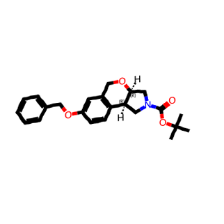 CC(C)(C)OC(=O)N1C[C@@H]2OCc3cc(OCc4ccccc4)ccc3[C@@H]2C1